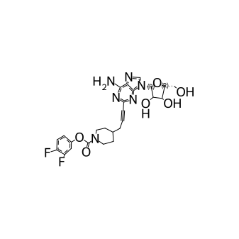 Nc1nc(C#CCC2CCN(C(=O)Oc3ccc(F)c(F)c3)CC2)nc2c1ncn2[C@@H]1O[C@H](CO)C(O)C1O